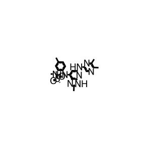 Cc1ccc(Nc2cc(Nc3cnc(C)c(C)n3)nc3[nH]c(C)nc23)c(N(C)S(C)(=O)=O)c1